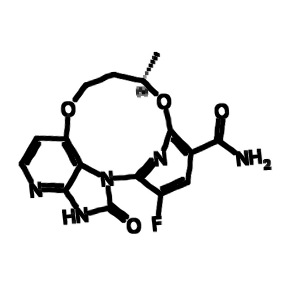 C[C@H]1CCOc2ccnc3[nH]c(=O)n(c23)-c2nc(c(C(N)=O)cc2F)O1